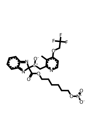 Cc1c(OCC(F)(F)F)ccnc1C[S+]([O-])C1(C(=O)OCCCCCCO[N+](=O)[O-])N=c2ccccc2=N1